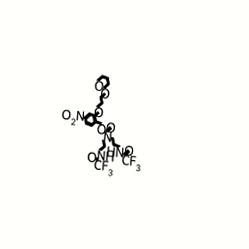 O=C(OCc1ccc([N+](=O)[O-])cc1OCCCOC1CCCCO1)N(CCCNC(=O)C(F)(F)F)CCCNC(=O)C(F)(F)F